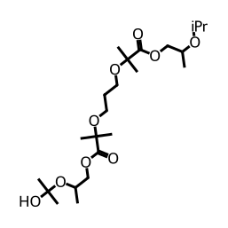 CC(C)OC(C)COC(=O)C(C)(C)OCCCOC(C)(C)C(=O)OCC(C)OC(C)(C)O